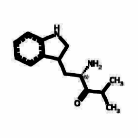 CC(C)C(=O)[C@@H](N)CC1CNc2ccccc21